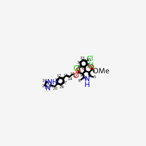 COC(=O)C1=C(C)NC(C)=C(C(=O)OCC=Cc2ccc(Cc3ncc[nH]3)cc2)C1c1c(Cl)ccc(Cl)c1Cl